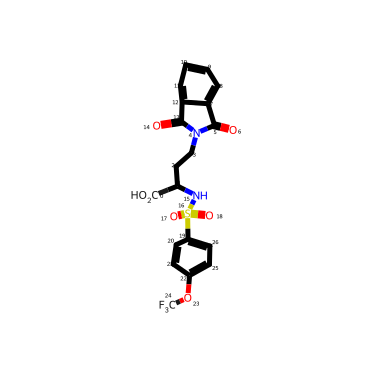 O=C(O)C(CCN1C(=O)c2ccccc2C1=O)NS(=O)(=O)c1ccc(OC(F)(F)F)cc1